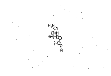 CN(C)CCOc1cc(F)cc(-c2cccc3[nH]c(-c4n[nH]c5ccc(-c6cncc(N)c6)nc45)cc23)c1